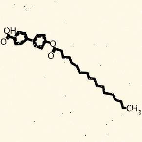 CCCCCCCCCCCCCCCCCC(=O)Oc1ccc(-c2ccc(C(=O)O)cc2)cc1